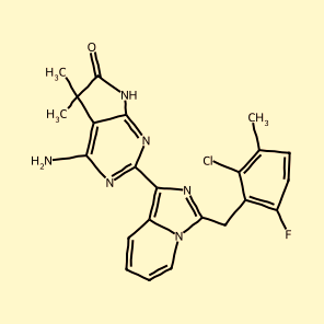 Cc1ccc(F)c(Cc2nc(-c3nc(N)c4c(n3)NC(=O)C4(C)C)c3ccccn23)c1Cl